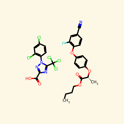 CCCCOC(=O)[C@@H](C)Oc1ccc(Oc2ccc(C#N)cc2F)cc1.O=C(O)c1nc(C(Cl)(Cl)Cl)n(-c2ccc(Cl)cc2Cl)n1